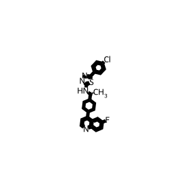 C[C@@H](Nc1nnc(-c2ccc(Cl)cc2)s1)C1CCC(c2ccnc3ccc(F)cc23)CC1